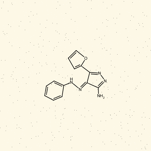 NC1=NN=C(c2ccco2)/C1=N\Nc1ccccc1